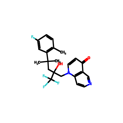 Cc1ccc(F)cc1C(C)(C)CC(O)(Cn1ccc(=O)c2cnccc21)C(F)(F)F